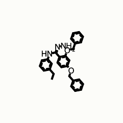 CCc1cccc(N/C(=N/N)c2ccc(OCc3ccccc3)cc2OCc2ccccc2)c1